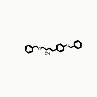 O[C@H](/C=C/c1ccc(OCc2ccccc2)cc1)COCc1ccccc1